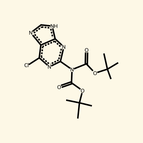 CC(C)(C)OC(=O)N(C(=O)OC(C)(C)C)c1nc(Cl)c2nc[nH]c2n1